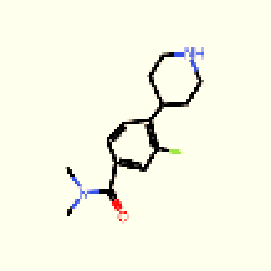 CN(C)C(=O)c1ccc(C2CCNCC2)c(F)c1